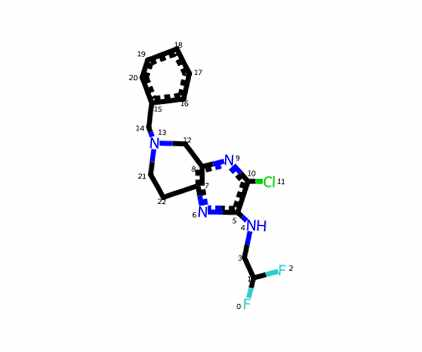 FC(F)CNc1nc2c(nc1Cl)CN(Cc1ccccc1)CC2